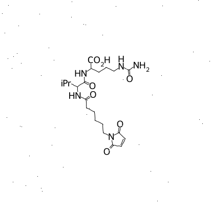 CC(C)C(NC(=O)CCCCCN1C(=O)C=CC1=O)C(=O)NC(CCCNC(N)=O)C(=O)O